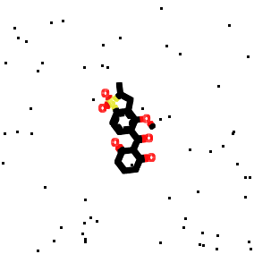 COc1c(C(=O)C2C(=O)CCCC2=O)ccc2c1CC(C)S2(=O)=O